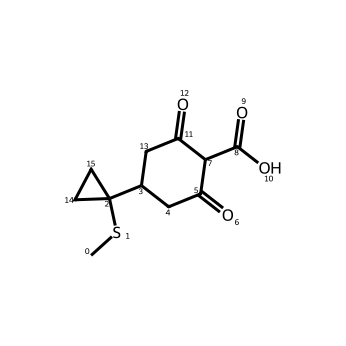 CSC1(C2CC(=O)C(C(=O)O)C(=O)C2)CC1